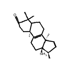 C[C@@H]1CC[C@]2(C)C3=C(CC[C@@]12N)[C@@]1(C)CCC(=O)C(C)(C)C1CC3